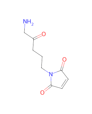 NCC(=O)CCCN1C(=O)C=CC1=O